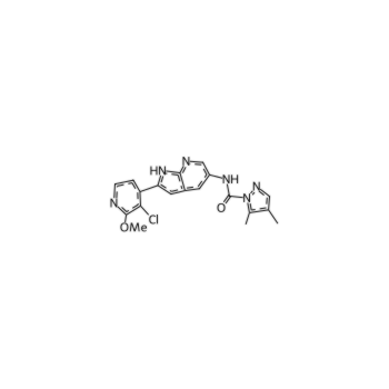 COc1nccc(-c2cc3cc(NC(=O)n4ncc(C)c4C)cnc3[nH]2)c1Cl